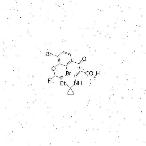 CCC1(NC=C(C(=O)O)C(=O)c2ccc(Br)c(OC(F)F)c2Br)CC1